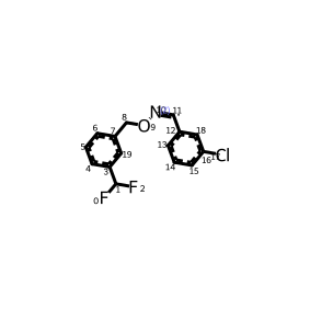 FC(F)c1cccc(CO/N=[C]\c2cccc(Cl)c2)c1